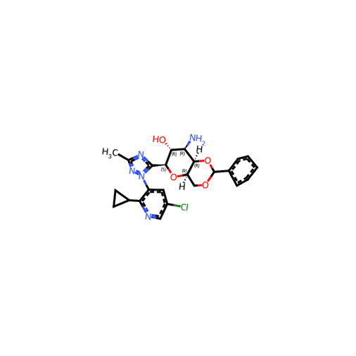 Cc1nc([C@@H]2O[C@@H]3COC(c4ccccc4)O[C@@H]3[C@H](N)[C@H]2O)n(-c2cc(Cl)cnc2C2CC2)n1